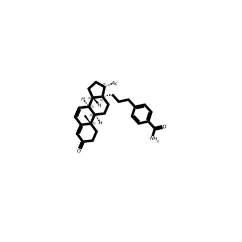 CC(=O)[C@H]1CC[C@H]2[C@@H]3C=CC4=CC(=O)CC[C@@]4(C)[C@@H]3CC[C@]12CCCc1ccc(C(N)=O)cc1